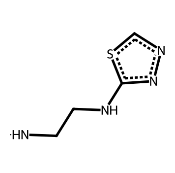 [NH]CCNc1nncs1